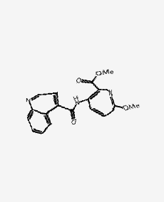 COC(=O)c1nc(OC)ccc1NC(=O)c1ccnc2ccccc12